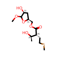 COC1O[C@H](COC(=O)[C@H](CCSC)[C@@H](C)O)C[C@@H]1O